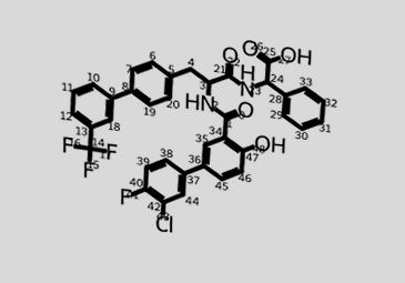 O=C(NC(Cc1ccc(-c2cccc(C(F)(F)F)c2)cc1)C(=O)NC(C(=O)O)c1ccccc1)c1cc(-c2ccc(F)c(Cl)c2)ccc1O